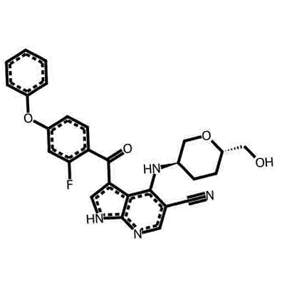 N#Cc1cnc2[nH]cc(C(=O)c3ccc(Oc4ccccc4)cc3F)c2c1N[C@@H]1CC[C@@H](CO)OC1